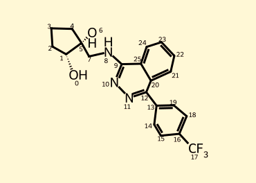 O[C@@H]1CCC[C@@]1(O)CNc1nnc(-c2ccc(C(F)(F)F)cc2)c2ccccc12